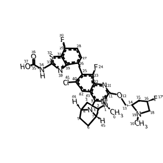 CNC1C[C@H]2CC[C@@H]1N2c1nc(OC[C@@H]2C[C@@H](F)CN2C)nc2c(F)c(-c3ccc(F)c4sc(NC(=O)O)nc34)c(Cl)cc12